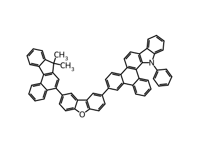 CC1(C)c2ccccc2-c2c1cc(-c1ccc3oc4ccc(-c5ccc6c(c5)c5ccccc5c5c6ccc6c7ccccc7n(-c7ccccc7)c65)cc4c3c1)c1ccccc21